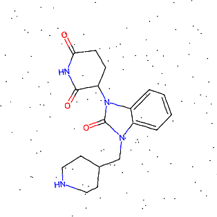 O=C1CCC(n2c(=O)n(CC3CCNCC3)c3ccccc32)C(=O)N1